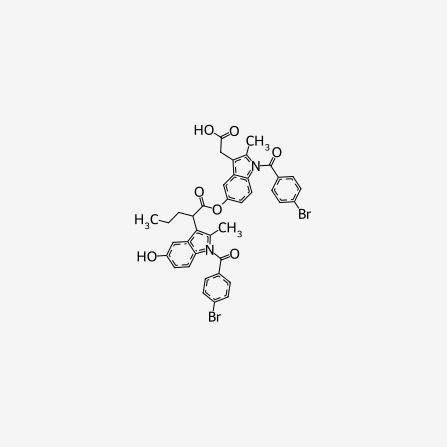 CCCC(C(=O)Oc1ccc2c(c1)c(CC(=O)O)c(C)n2C(=O)c1ccc(Br)cc1)c1c(C)n(C(=O)c2ccc(Br)cc2)c2ccc(O)cc12